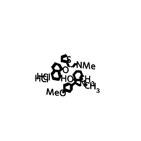 CNCC[C@H](Oc1cccc2ccccc12)c1cccs1.COc1ccc(C(CN(C)C)C2(O)CCCCC2)cc1.Cl.Cl